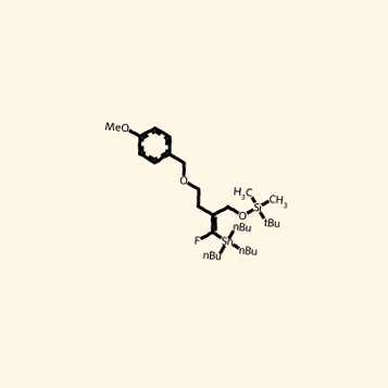 CCC[CH2][Sn]([CH2]CCC)([CH2]CCC)/[C](F)=C(/CCOCc1ccc(OC)cc1)CO[Si](C)(C)C(C)(C)C